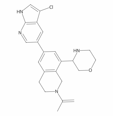 C=C(C)N1CCc2cc(-c3cnc4[nH]cc(Cl)c4c3)cc(C3COCCN3)c2C1